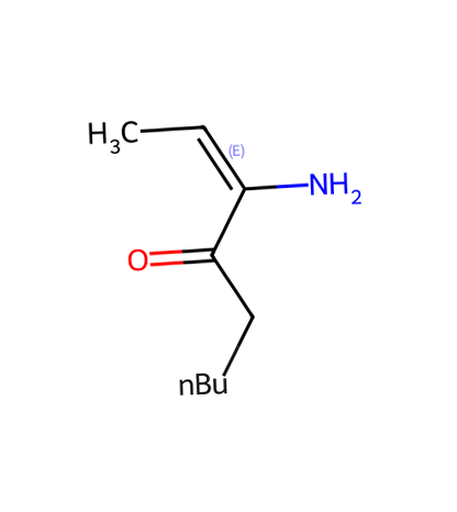 C/C=C(/N)C(=O)CCCCC